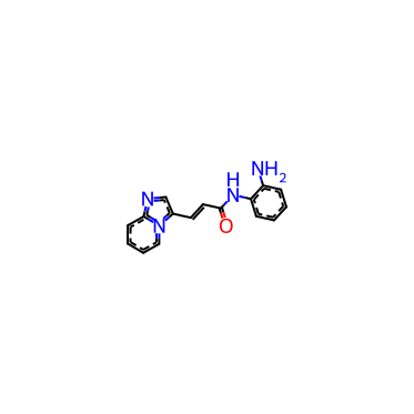 Nc1ccccc1NC(=O)C=Cc1cnc2ccccn12